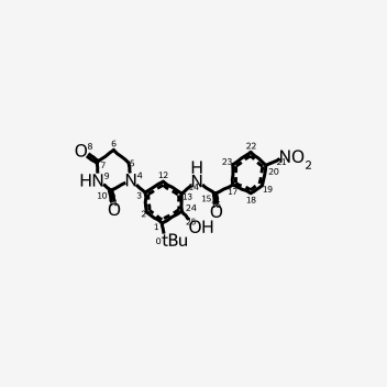 CC(C)(C)c1cc(N2CCC(=O)NC2=O)cc(NC(=O)c2ccc([N+](=O)[O-])cc2)c1O